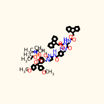 CCCOP(OC1C[C@H](Cn2ccc(NC(=O)c3ccc(CNC(=O)C(CNC(=O)OCC4c5ccccc5-c5ccccc54)NC(=O)OCC4c5ccccc5-c5ccccc54)cc3)nc2=O)O[C@@H]1COC(c1ccccc1)(c1ccc(OC)cc1)c1ccc(OC)cc1)N(C(C)C)C(C)C